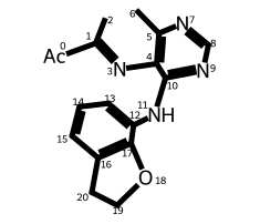 CC(=O)/C(C)=N/c1c(C)ncnc1Nc1cccc2c1OCC2